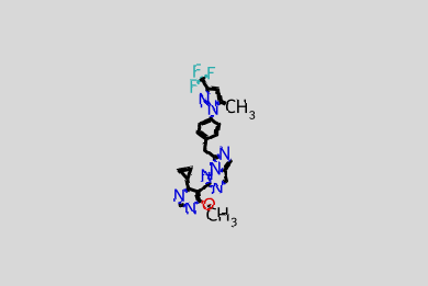 COc1ncnc(C2CC2)c1-c1ncc2cnc(Cc3ccc(-n4nc(C(F)(F)F)cc4C)cc3)n2n1